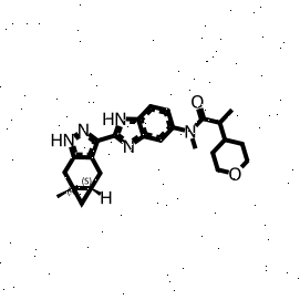 CC(C(=O)N(C)c1ccc2[nH]c(-c3n[nH]c4c3C[C@@H]3C[C@]3(C)C4)nc2c1)C1CCOCC1